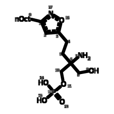 CCCCCCCCc1cc(CCC(N)(CO)COP(=O)(O)O)on1